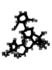 CCN(C[C@@]12CC[C@@H](c3cc(-c4c(F)cccc4F)nnc31)C2(C)C)C(=O)c1cn(C)nn1